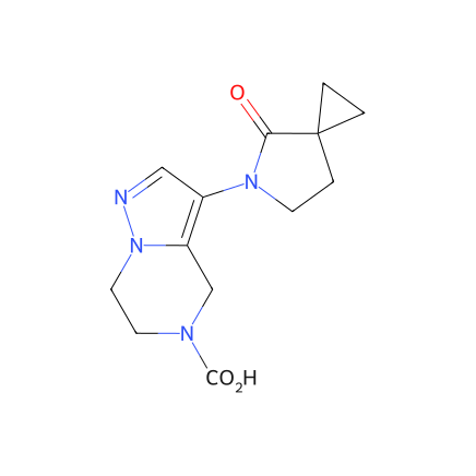 O=C(O)N1CCn2ncc(N3CCC4(CC4)C3=O)c2C1